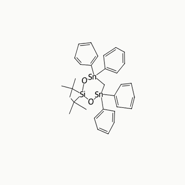 CC(C)(C)[Si]1(C(C)(C)C)[O][Sn]([c]2ccccc2)([c]2ccccc2)[CH2][Sn]([c]2ccccc2)([c]2ccccc2)[O]1